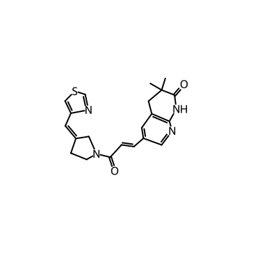 CC1(C)Cc2cc(C=CC(=O)N3CCC(=Cc4cscn4)C3)cnc2NC1=O